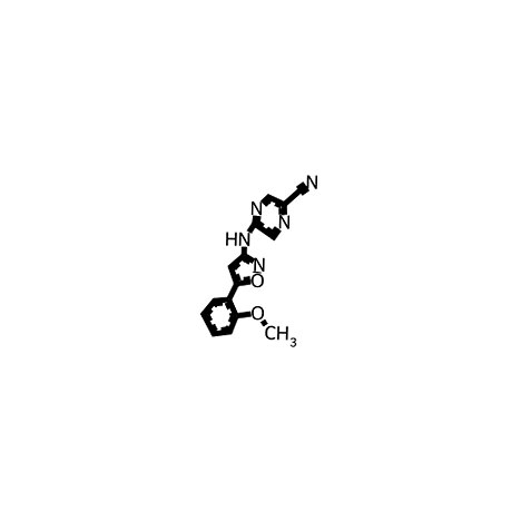 COc1ccccc1-c1cc(Nc2cnc(C#N)cn2)no1